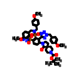 COc1ccc(CN(Cc2ccc(OC)cc2)S(=O)(=O)c2c(S(N)(=O)=O)ccc(N3CCC4(CCN(C(=O)OC(C)(C)C)CC4)C3=O)c2-c2nnn(Cc3ccc(OC)cc3)n2)cc1